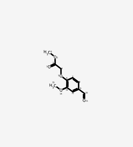 COC(=O)COc1ccc(C=O)cc1OC